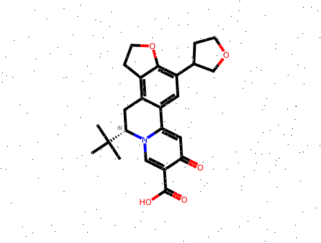 CC(C)(C)[C@@H]1Cc2c(cc(C3CCOC3)c3c2CCO3)-c2cc(=O)c(C(=O)O)cn21